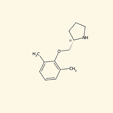 Cc1cccc(C)c1OC[C@@H]1CCCN1